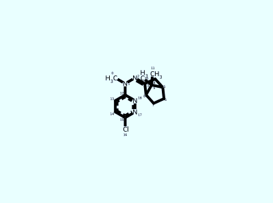 CN(N=C1CC2CCC1C2(C)C)c1ccc(Cl)nn1